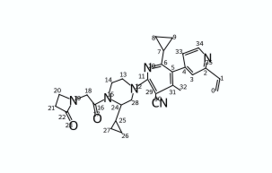 C=Cc1cc(-c2c(C3CC3)nc(N3CCN(C(=O)CN4CCC4=O)C(C4CC4)C3)c(C#N)c2C)ccn1